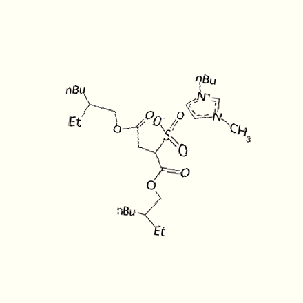 CCCCC(CC)COC(=O)CC(C(=O)OCC(CC)CCCC)S(=O)(=O)[O-].CCCC[n+]1ccn(C)c1